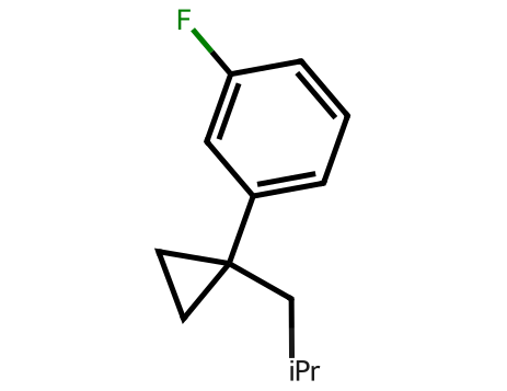 CC(C)CC1(c2cccc(F)c2)CC1